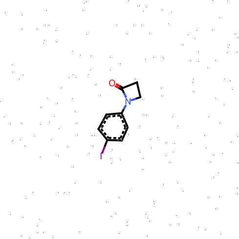 O=C1CCN1c1ccc(I)cc1